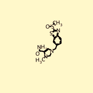 CN1CN(Cc2ccc3nc([S+](C)[O-])sc3c2)C=C1C(N)=O